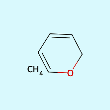 C.C1=CCOC=C1